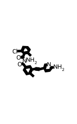 Cc1ccc(C(=O)N(N)C(=O)c2c(C)cccc2Cl)cc1C#Cc1ccc(N)nc1